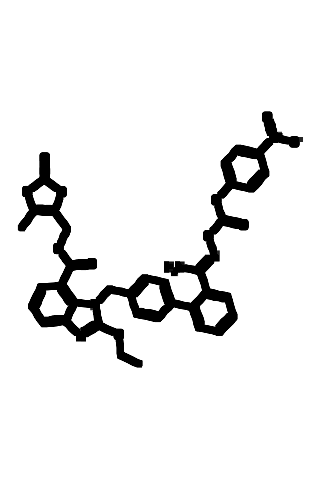 CCOc1nc2cccc(C(=O)OCc3oc(=O)oc3C)c2n1Cc1ccc(-c2ccccc2/C(N)=N/OC(=O)Oc2ccc([N+](=O)[O-])cc2)cc1